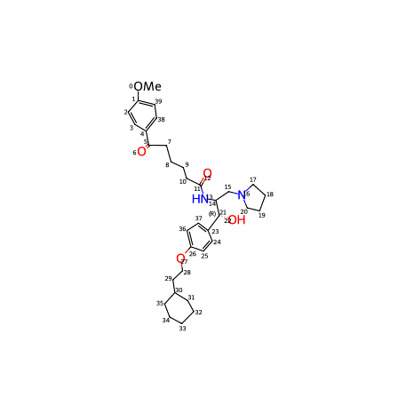 COc1ccc(C(=O)CCCCC(=O)NC(CN2CCCC2)[C@H](O)c2ccc(OCCC3CCCCC3)cc2)cc1